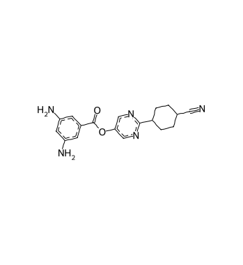 N#CC1CCC(c2ncc(OC(=O)c3cc(N)cc(N)c3)cn2)CC1